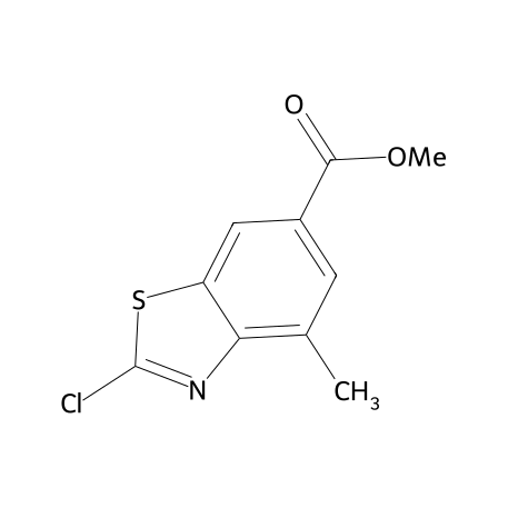 COC(=O)c1cc(C)c2nc(Cl)sc2c1